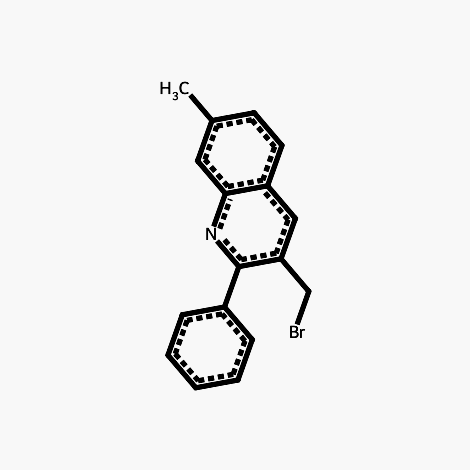 Cc1ccc2cc(CBr)c(-c3ccccc3)nc2c1